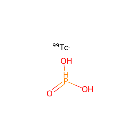 O=[PH](O)O.[99Tc]